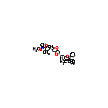 CON(C)C(=O)C(C)C[C@H](C)CCC1O[C@@H](CCCO[Si](c2ccccc2)(c2ccccc2)C(C)(C)C)CC1=O